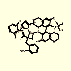 COc1ccccc1CC1(/C(C)=N/c2c(Cl)cccc2Cl)CC(Oc2c(Br)cc3c(c2-c2c4c(cc(Br)c2O[Si](C)(C)C(C)(C)C)CCCC4)CCCC3)C1n1c(C)ccc1C